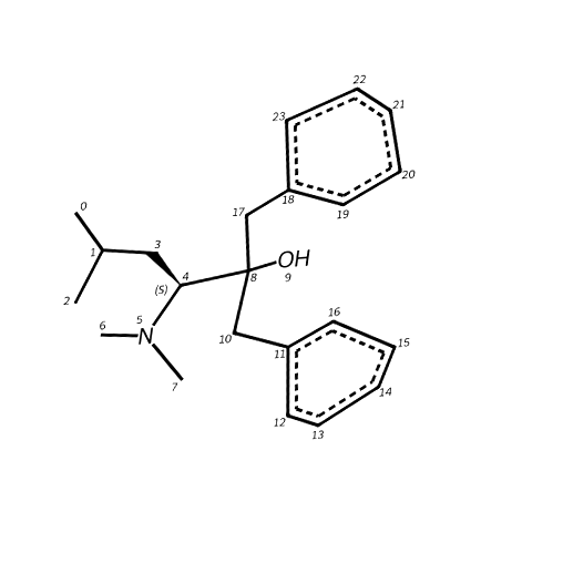 CC(C)C[C@H](N(C)C)C(O)(Cc1ccccc1)Cc1ccccc1